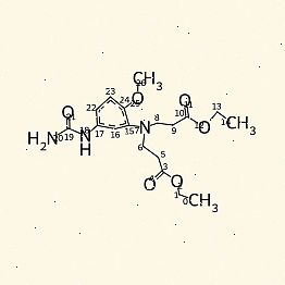 CCOC(=O)CCN(CCC(=O)OCC)c1cc(NC(N)=O)ccc1OC